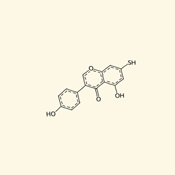 O=c1c(-c2ccc(O)cc2)coc2cc(S)cc(O)c12